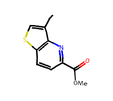 COC(=O)c1ccc2scc(C)c2n1